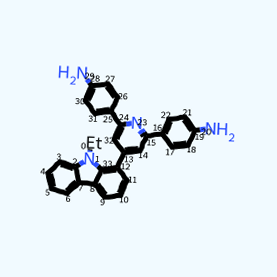 CCn1c2ccccc2c2cccc(-c3cc(-c4ccc(N)cc4)nc(-c4ccc(N)cc4)c3)c21